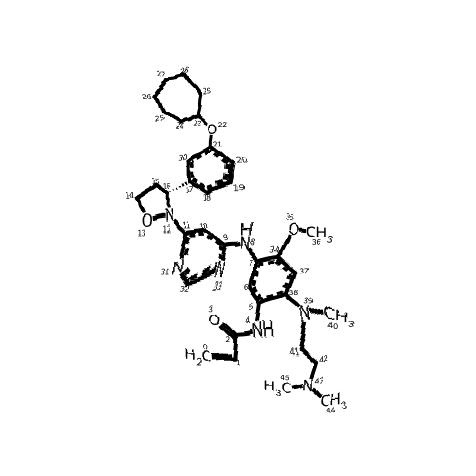 C=CC(=O)Nc1cc(Nc2cc(N3OCC[C@@H]3c3cccc(OC4CCCCCC4)c3)ncn2)c(OC)cc1N(C)CCN(C)C